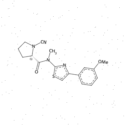 COc1cccc(-c2csc(N(C)C(=O)[C@@H]3CCCN3C#N)n2)c1